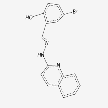 Oc1ccc(Br)cc1C=NNc1ccc2ccccc2n1